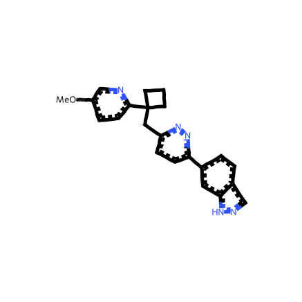 COc1ccc(C2([CH]c3ccc(-c4ccc5cn[nH]c5c4)nn3)CCC2)nc1